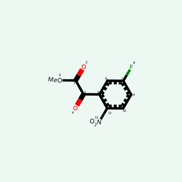 COC(=O)C(=O)c1cc(F)ccc1[N+](=O)[O-]